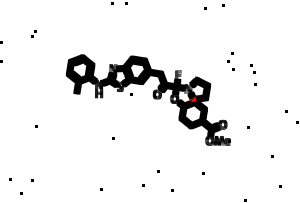 COC(=O)C1CCC(OC(F)(C(=O)Cc2ccc3nc(Nc4ccccc4C)sc3c2)N2CCCC2)CC1